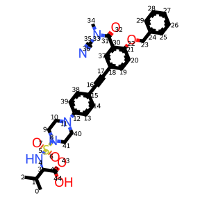 CC(C)[C@@H](NS(=O)(=O)N1CCN(c2ccc(C#Cc3ccc(OCc4ccccc4)c(C(=O)N(C)C#N)c3)cc2)CC1)C(=O)O